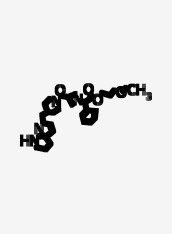 CCOCCCOC(=O)C(c1ccccc1)N1CC(C(=O)N2CCC(Cc3ccc4c(n3)NCCC4)CC2)C1